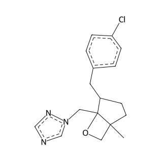 CC12CCC(Cc3ccc(Cl)cc3)C1(Cn1cncn1)OC2